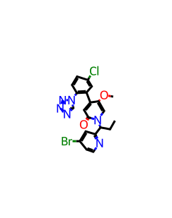 CCC(c1cc(Br)ccn1)n1cc(OC)c(-c2cc(Cl)ccc2-n2cnnn2)cc1=O